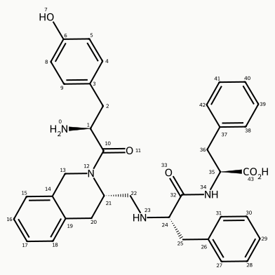 N[C@@H](Cc1ccc(O)cc1)C(=O)N1Cc2ccccc2C[C@H]1CN[C@@H](Cc1ccccc1)C(=O)N[C@@H](Cc1ccccc1)C(=O)O